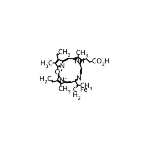 C=CC1=C(C)c2nc1cc1[nH]c(ccnc(C(=C)C)cc3[n-]c([o+]2)c(C=C)c3C)c(CCC(=O)O)c1C.[Fe]